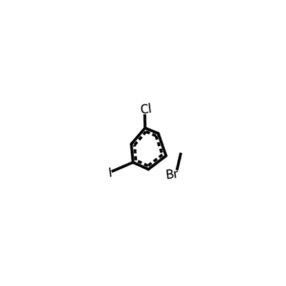 CBr.Clc1cccc(I)c1